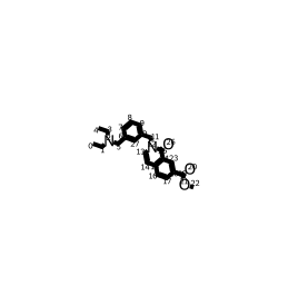 CCN(CC)Cc1cccc(Cn2ccc3ccc(C(=O)OC)cc3c2=O)c1